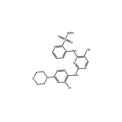 CCc1cc(N2CCOCC2)ccc1Nc1ncc(C#N)c(Nc2ccccc2S(=O)(=O)NC)n1